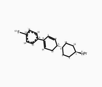 CCC[C@H]1CC[C@H](C2C=CC(c3ccc(F)cc3)=CC2)CC1